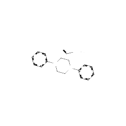 C=CCCCCCC.c1ccc(N2CCN(c3ccccc3)CC2)cc1